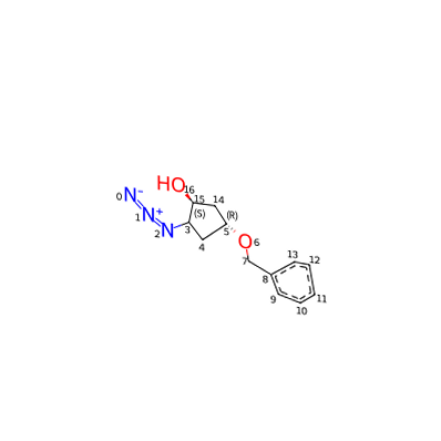 [N-]=[N+]=NC1C[C@@H](OCc2ccccc2)C[C@@H]1O